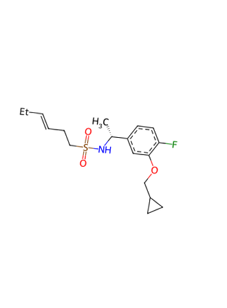 CC/C=C/CCS(=O)(=O)N[C@H](C)c1ccc(F)c(OCC2CC2)c1